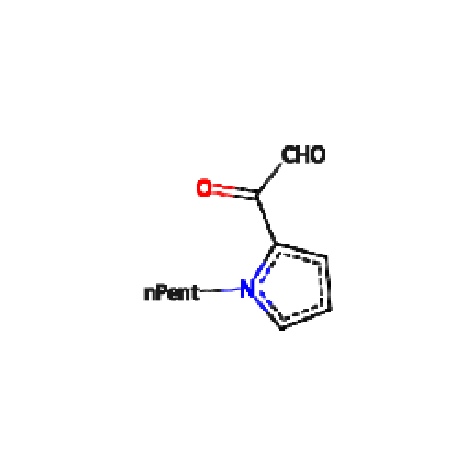 CCCCCn1cccc1C(=O)C=O